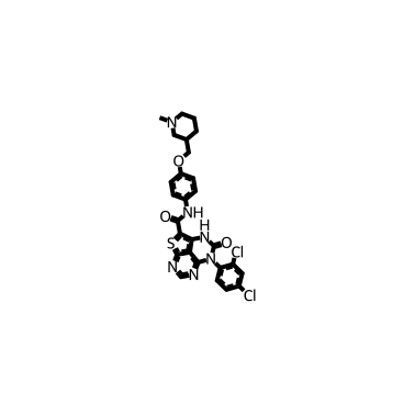 CN1CCCC(COc2ccc(NC(=O)c3sc4ncnc5c4c3NC(=O)N5c3ccc(Cl)cc3Cl)cc2)C1